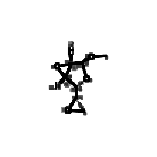 CO[C@H]1O[C@H]([C@@H]2CO2)[C@@H]2O[C@H]12